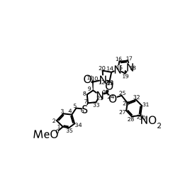 COc1ccc(CS[C@H]2C[C@@H](C(=O)N3CC(n4ccnc4)C3)N(C(=O)OCc3ccc([N+](=O)[O-])cc3)C2)cc1